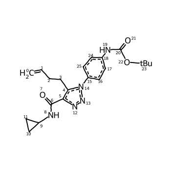 C=CCCc1c(C(=O)NC2CC2)nnn1-c1ccc(NC(=O)OC(C)(C)C)cc1